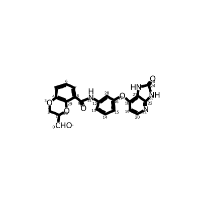 O=[C]C1COc2cccc(C(=O)Nc3cccc(Oc4ccnc5[nH]c(=O)[nH]c45)c3)c2O1